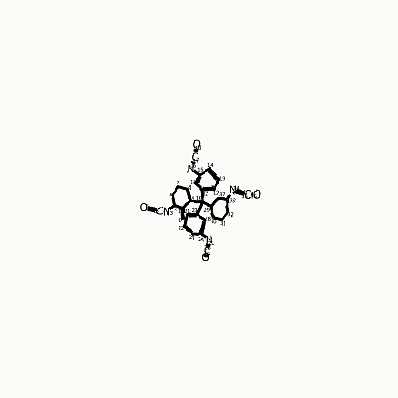 C=C1C(N=C=O)CC[CH]C1C(c1cccc(N=C=O)c1)(c1cccc(N=C=O)c1)C1[CH]CCC(N=C=O)C1